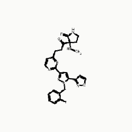 CNC1(C(=O)CCc2ccnc(-c3cc(-c4ccon4)n(Cc4ccccc4F)n3)n2)CCNC1=O